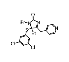 CCC1(Sc2cc(Cl)cc(Cl)c2)C(Cc2ccncc2)=NC(=O)N1C(C)C